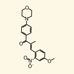 COc1ccc(/C=C(\C)C(=O)c2ccc(N3CCOCC3)cc2)c([N+](=O)[O-])c1